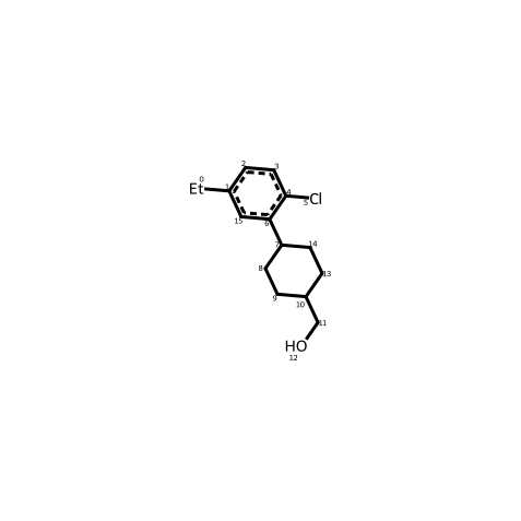 CCc1ccc(Cl)c(C2CCC(CO)CC2)c1